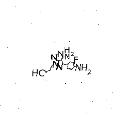 C#CCCn1nc(-c2ccc(N)c(F)c2)c2c(N)ncnc21